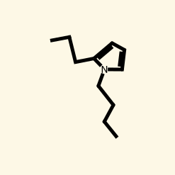 CCCCn1cccc1CCC